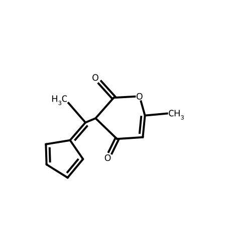 CC1=CC(=O)C(C(C)=C2C=CC=C2)C(=O)O1